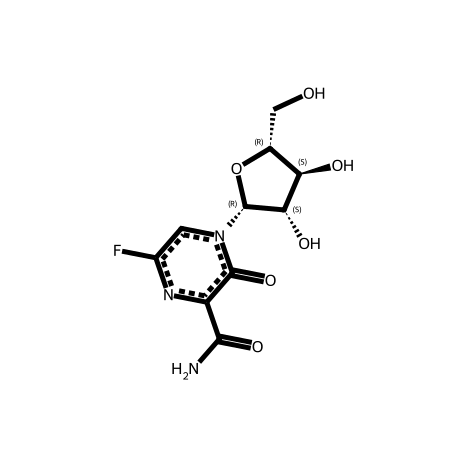 NC(=O)c1nc(F)cn([C@@H]2O[C@H](CO)[C@@H](O)[C@@H]2O)c1=O